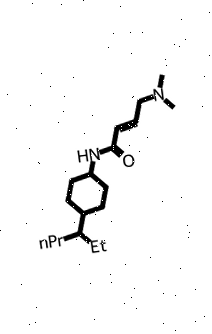 CCCC(CC)C1CCC(NC(=O)/C=C/CN(C)C)CC1